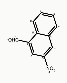 O=[C]c1cc([N+](=O)[O-])cc2ccccc12